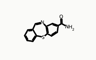 NC(=O)c1ccc2c(c1)N=Cc1ccccc1S2